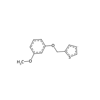 COc1cccc(OCc2c[c]cs2)c1